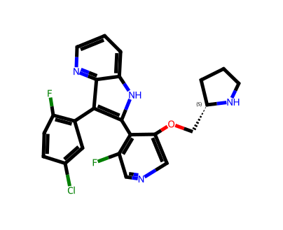 Fc1ccc(Cl)cc1-c1c(-c2c(F)cncc2OC[C@@H]2CCCN2)[nH]c2cccnc12